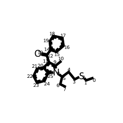 CCSCCC(CC)n1c(C)c(C(=O)c2ccccc2)c2ccccc21